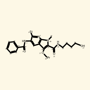 CCc1nc2c(cc1NC(=O)c1ccccc1)c(OC(C)C)c(C(=O)NCCCCO)n2C